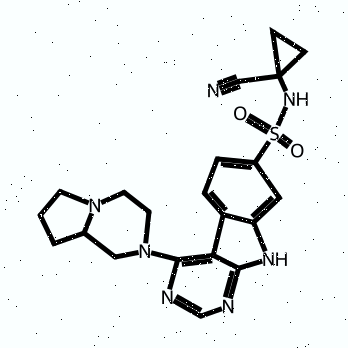 N#CC1(NS(=O)(=O)c2ccc3c(c2)[nH]c2ncnc(N4CCN5CCCC5C4)c23)CC1